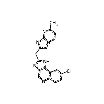 Cc1ccn2cc(Cc3nc4cnc5ccc(Cl)cc5c4[nH]3)nc2n1